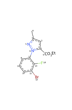 CCOC(=O)c1cc(C)nn1-c1cccc(Br)c1F